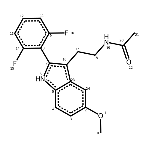 COc1ccc2[nH]c(-c3c(F)cccc3F)c(CCNC(C)=O)c2c1